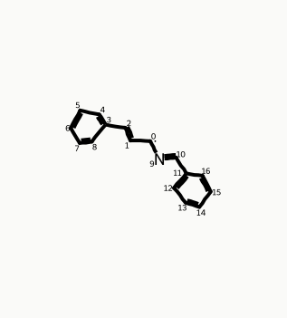 [CH](C=Cc1ccccc1)N=Cc1ccccc1